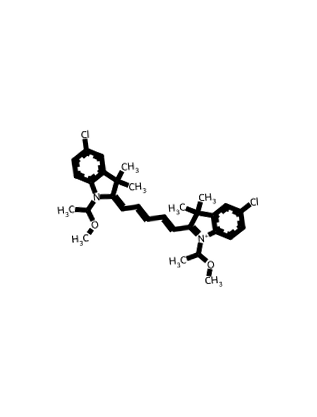 COC(C)N1/C(=C/C=C/C=C/C2=[N+](C(C)OC)c3ccc(Cl)cc3C2(C)C)C(C)(C)c2cc(Cl)ccc21